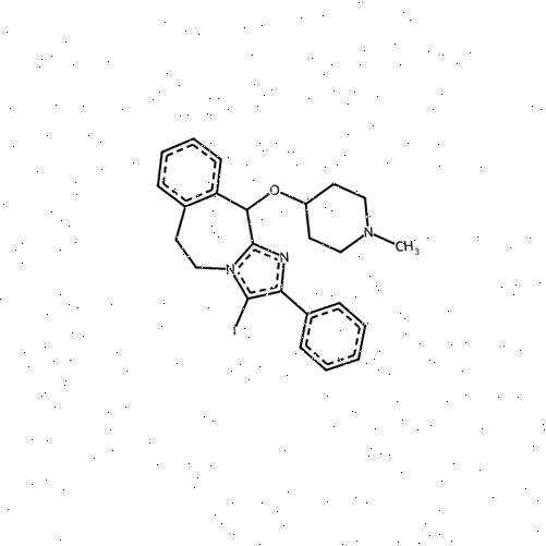 CN1CCC(OC2c3ccccc3CCn3c2nc(-c2ccccc2)c3I)CC1